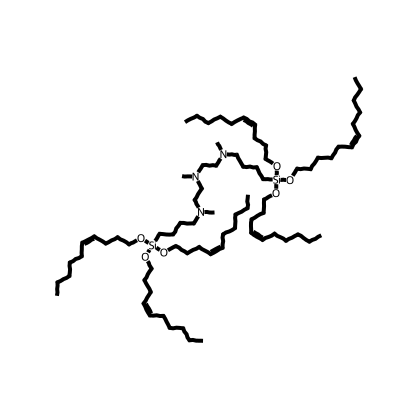 CCCCC/C=C\CCCCCO[Si](CCCCN(C)CCN(C)CCN(C)CCCC[Si](OCCC/C=C\CCCCC)(OCCC/C=C\CCCCC)OCCC/C=C\CCCCC)(OCCC/C=C\CCCCC)OCCC/C=C\CCCCC